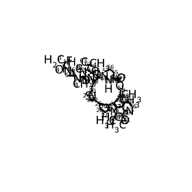 C=C(F)C(=O)N1CC(N(C)C(=O)N(C)C(C(=O)N[C@H]2Cc3nc(cs3)-c3ccc4c(c3)c(c(-c3cccnc3[C@H](C)OC)n4CC)CC(C)(C)COC(=O)[C@@H]3CCCN(N3)C2=O)C(C)C)C1